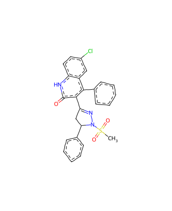 CS(=O)(=O)N1N=C(c2c(-c3ccccc3)c3cc(Cl)ccc3[nH]c2=O)CC1c1ccccc1